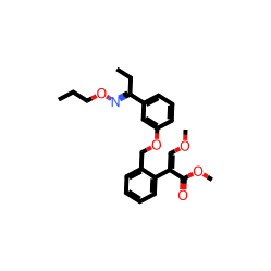 CCCON=C(CC)c1cccc(OCc2ccccc2C(=COC)C(=O)OC)c1